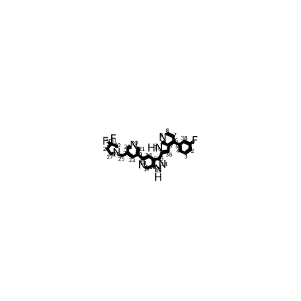 Fc1cccc(-c2ccnc3[nH]c(-c4n[nH]c5cnc(-c6cncc(CN7CCC(F)(F)C7)c6)cc45)cc23)c1